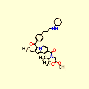 CCc1cc2cc(C(=O)N(CC(=O)OC)C(C)C)ccn2c1C(=O)c1ccc(CCCNC2CCCCC2)cc1